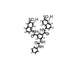 O=C(Nc1ccccc1)Nc1cc(C(=O)Nc2cccc3cc(S(=O)(=O)O)ccc23)cc(C(=O)Nc2cccc3cc(S(=O)(=O)O)ccc23)c1